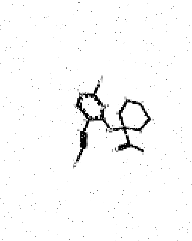 CC(=O)C1(Nc2nc(Cl)ncc2C#CBr)CCCCC1